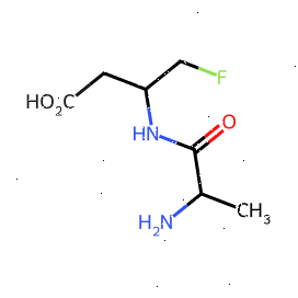 CC(N)C(=O)NC(CF)CC(=O)O